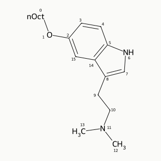 CCCCCCCCOc1ccc2[nH]cc(CCN(C)C)c2c1